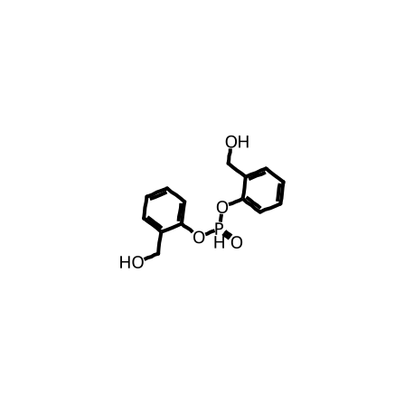 O=[PH](Oc1ccccc1CO)Oc1ccccc1CO